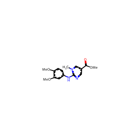 COC(=O)c1cnc(Nc2ccc(OC)c(OC)c2)[n+](C)c1